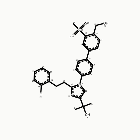 CC(C)(O)c1cn(-c2ccc(-c3ccc(CO)c(S(C)(=O)=O)c3)cc2)c(CCc2ccccc2Cl)n1